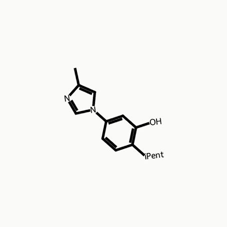 CCCC(C)c1ccc(-n2cnc(C)c2)cc1O